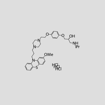 COc1ccc2c(c1)N(CCCN1CCN(CCOc3ccc(OC[C@@H](O)CNC(C)C)cc3)CC1)c1ccccc1S2.Cl.Cl.Cl